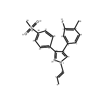 CC=Cn1cc(-c2ccc(C)c(F)c2)c(-c2ccc(S(C)(=O)=O)cc2)n1